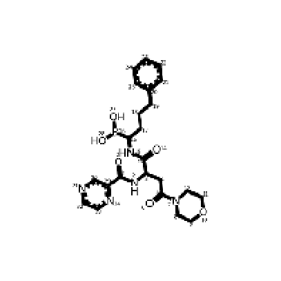 O=C(NC(CC(=O)N1CCOCC1)C(=O)NC(CCCc1ccccc1)B(O)O)c1cnccn1